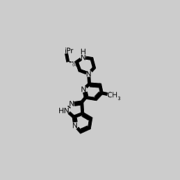 Cc1cc(-c2n[nH]c3ncccc23)nc(N2CCN[C@@H](CC(C)C)C2)c1